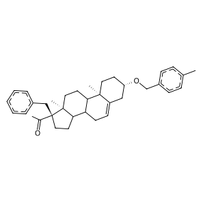 CC(=O)[C@@]1(Cc2ccccc2)CCC2C3CC=C4C[C@@H](OCc5ccc(C)cc5)CC[C@]4(C)C3CC[C@@]21C